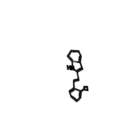 Clc1ccccc1C=Cc1cc2ccccc2[nH]1